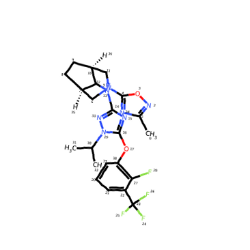 Cc1noc(N2C[C@H]3CC[C@@H](C2)C3Nc2nc(Oc3cccc(C(F)(F)F)c3F)n(C(C)C)n2)n1